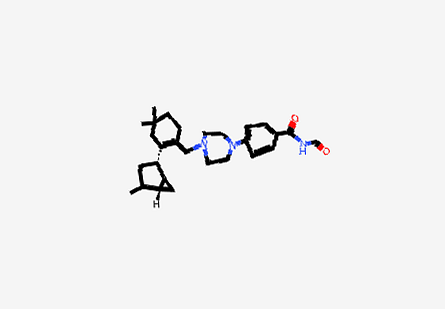 CC1C[C@H](C2=C(CN3CCN(c4ccc(C(=O)NC=O)cc4)CC3)CCC(C)(C)C2)C2C[C@H]12